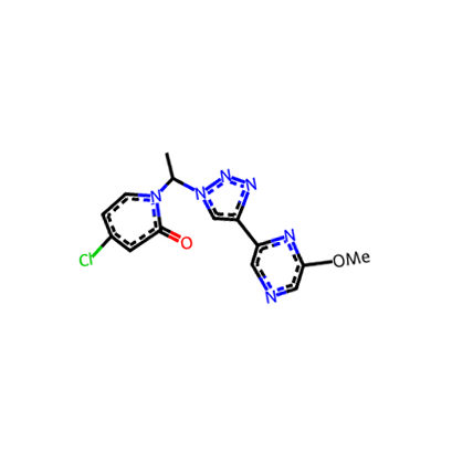 COc1cncc(-c2cn(C(C)n3ccc(Cl)cc3=O)nn2)n1